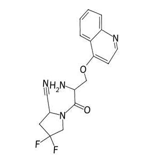 N#CC1CC(F)(F)CN1C(=O)C(N)COc1ccnc2ccccc12